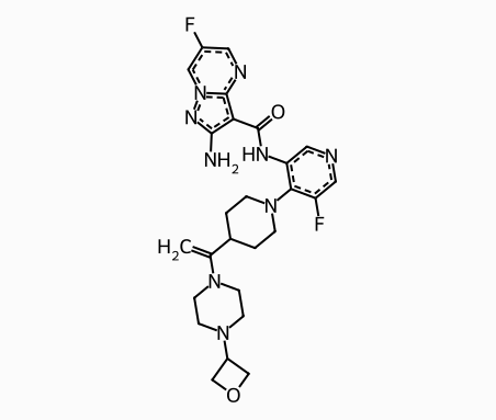 C=C(C1CCN(c2c(F)cncc2NC(=O)c2c(N)nn3cc(F)cnc23)CC1)N1CCN(C2COC2)CC1